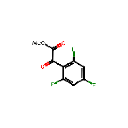 COC(=O)C(=O)c1c(F)cc(F)cc1F